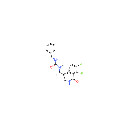 C[C@@H](c1c[nH]c(=O)c2c(F)c(F)ccc12)N(C)C(=O)NCc1ccccc1